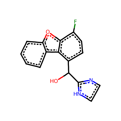 OC(c1ncc[nH]1)c1ccc(F)c2oc3ccccc3c12